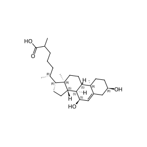 CC(CCC[C@@H](C)[C@H]1CC[C@H]2[C@@H]3[C@H](O)C=C4C[C@H](O)CC[C@]4(C)[C@H]3CC[C@]12C)C(=O)O